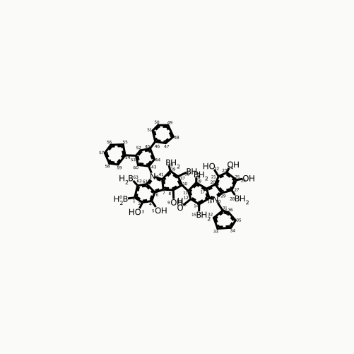 Bc1c(O)c(O)c2c3c(O)c(-c4c(O)c(B)c5c(c4B)c4c(O)c(O)c(O)c(B)c4n5-c4ccccc4)c(B)c(B)c3n(-c3cc(-c4ccccc4)cc(-c4ccccc4)c3)c2c1B